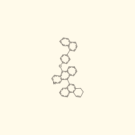 C1=Cc2c(cc(-c3c4ccccc4c(Oc4ccc(-c5cccc6ccccc56)cc4)c4ccncc34)c3ccccc23)CC1